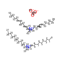 CCCCCCCCCCCC[N+](C)(CC)CCCCCCCCCCCC.CCCCCCCCCCCC[N+](C)(CC)CCCCCCCCCCCC.O=C([O-])[O-]